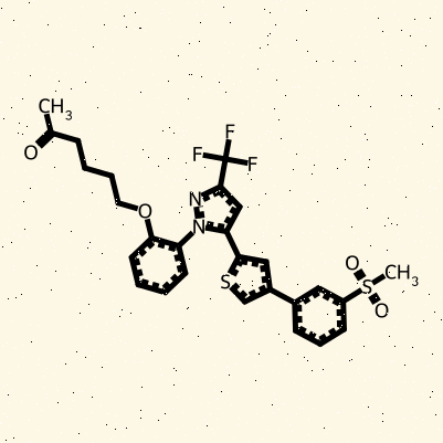 CC(=O)CCCCOc1ccccc1-n1nc(C(F)(F)F)cc1-c1cc(-c2cccc(S(C)(=O)=O)c2)cs1